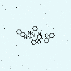 c1ccc(C2=NC(c3ccc4ccccc4c3)NC(c3cccc4oc5c(-c6cccc7c6oc6ccccc67)cncc5c34)=N2)cc1